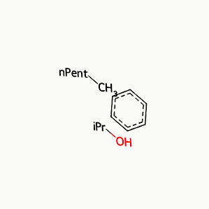 CC(C)O.CCCCCC.c1ccccc1